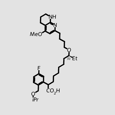 CC[C@@H](CCCCCCC(C(=O)O)c1cc(F)ccc1COC(C)C)OCCCCc1cc(OC)c2c(n1)NCCC2